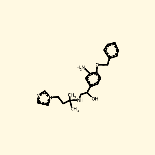 CC(C)(CCn1ccnc1)NCC(O)c1ccc(OCc2ccccc2)c(N)c1